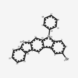 Brc1ccc2c(c1)c1cc3c(cc1n2-c1ccccc1)sc1ccccc13